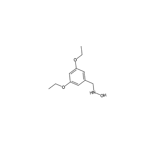 CCOc1cc(CNO)cc(OCC)c1